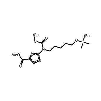 COC(=O)c1csc(N(CCCCCO[Si](C)(C)C(C)(C)C)C(=O)OC(C)(C)C)n1